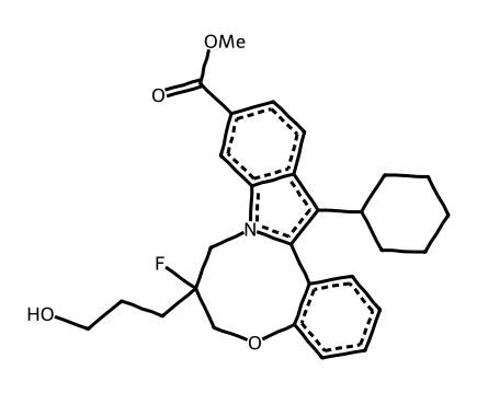 COC(=O)c1ccc2c(C3CCCCC3)c3n(c2c1)CC(F)(CCCO)COc1ccccc1-3